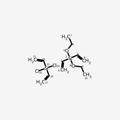 C=C[Si](C=C)(OCC)OCC.C=C[Si](Cl)(Cl)C=C